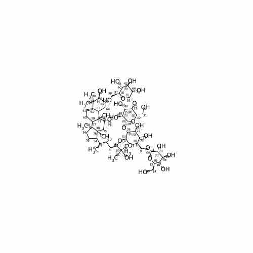 C[C@H](CC[C@@H](O[C@@H]1O[C@H](CO[C@H]2O[C@H](CO)[C@@H](O)[C@H](O)[C@H]2O)[C@@H](O)[C@H](O)[C@H]1O[C@H]1O[C@@H](CO)[C@H](O[C@@H]2O[C@@H](CO)[C@H](O)[C@@H](O)[C@@H]2O)[C@@H](O)[C@@H]1O)C(C)(C)O)C1CC[C@@]2(C)C3CC=C4C(CC[C@H](O)C4(C)C)[C@]3(C)[C@H](O)C[C@]12C